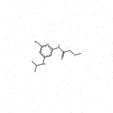 COCC(=O)Nc1cc(NC(C)C)cc(Br)n1